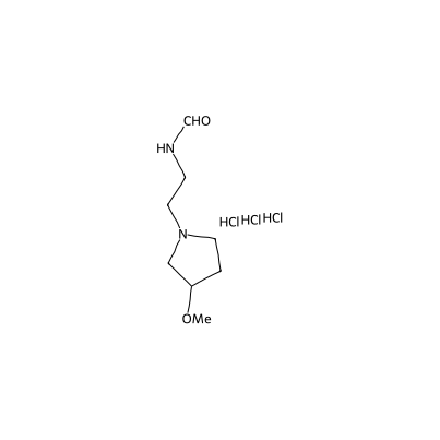 COC1CCN(CCNC=O)C1.Cl.Cl.Cl